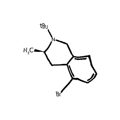 C[C@@H]1Cc2c(Br)cccc2CN1C(C)(C)C